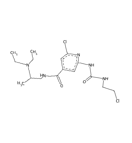 CCN(CC)C(C)CNC(=O)c1cc(Cl)nc(NC(=O)NCCCl)c1